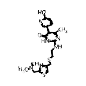 Cc1nc(NCCSCc2csc(CN(C)C)n2)[nH]c(=O)c1-c1ccc(O)nc1